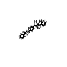 CC(C)(COc1ccc(Cc2cc(-c3cccnc3N)on2)cn1)c1ccccc1